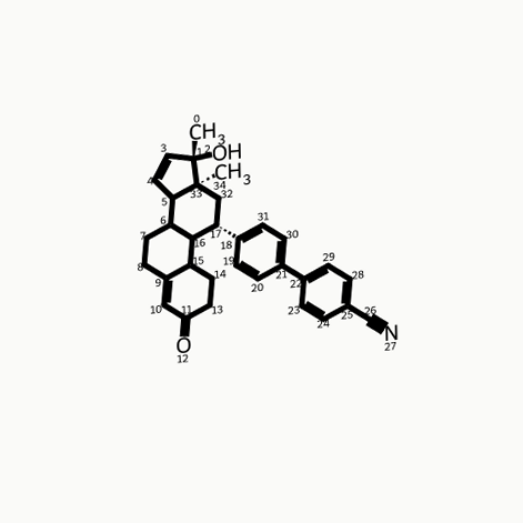 C[C@]1(O)C=CC2C3CCC4=CC(=O)CCC4C3[C@@H](c3ccc(-c4ccc(C#N)cc4)cc3)C[C@@]21C